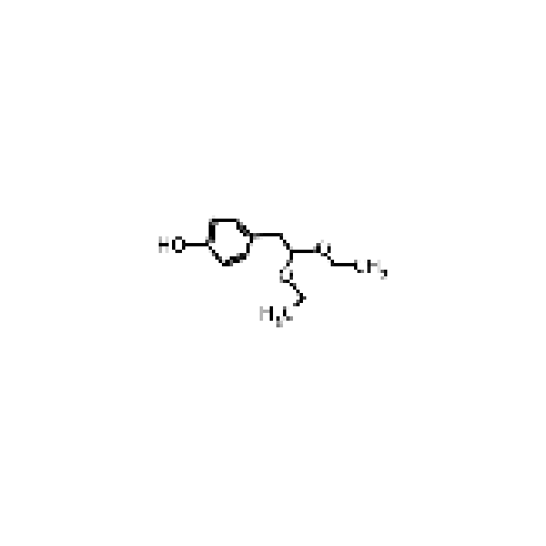 CCOC(Cc1ccc(O)cc1)OCC